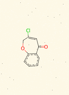 O=C1C=C(Cl)COc2ccccc21